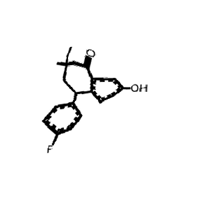 CC1(C)CC(c2ccc(F)cc2)c2ccc(O)cc2C1=O